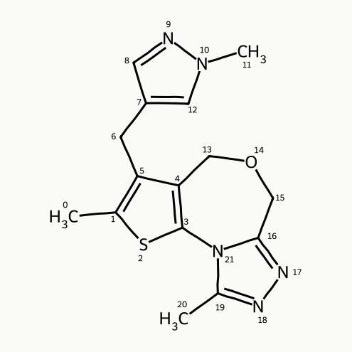 Cc1sc2c(c1Cc1cnn(C)c1)COCc1nnc(C)n1-2